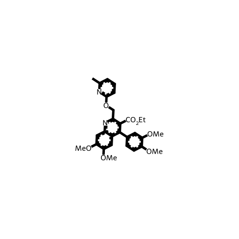 CCOC(=O)c1c(COc2cccc(C)n2)nc2cc(OC)c(OC)cc2c1-c1ccc(OC)c(OC)c1